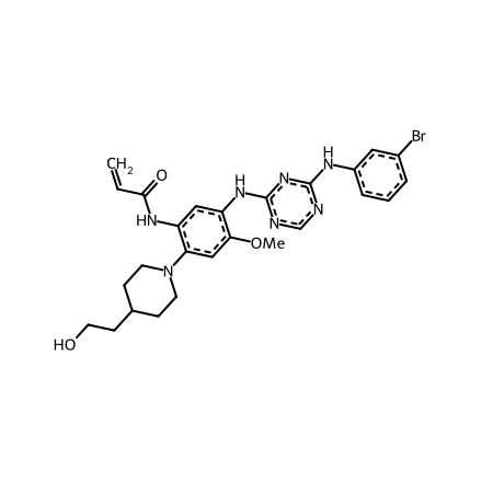 C=CC(=O)Nc1cc(Nc2ncnc(Nc3cccc(Br)c3)n2)c(OC)cc1N1CCC(CCO)CC1